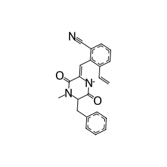 C=Cc1cccc(C#N)c1/C=C1/C(=O)N(C)C(Cc2ccccc2)C(=O)N1C